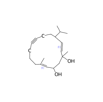 C/C1=C\C(O)CC(C)(O)/C=C/C(C(C)C)CCC#CCCC1